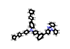 c1ccc(-c2ccc(-c3ccc(N(c4ccc(-c5ccc(-c6ccccc6)cc5)cc4)c4ccc(-c5cccc(-c6ccc7c(c6)nc(-c6ccccc6)n7-c6ccccc6)c5)cc4)cc3)cc2)cc1